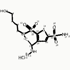 CCNC1CN(CCCCO)S(=O)(=O)c2sc(S(N)(=O)=O)cc21.Cl